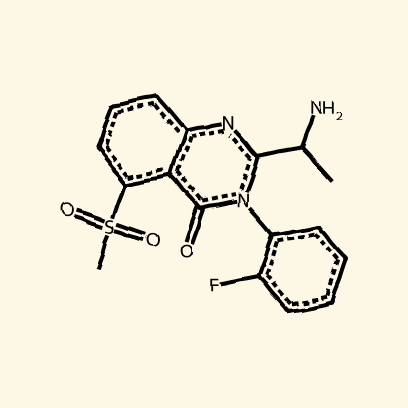 CC(N)c1nc2cccc(S(C)(=O)=O)c2c(=O)n1-c1ccccc1F